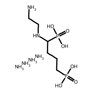 N.N.N.N.NCCNC(CCCP(=O)(O)O)P(=O)(O)O